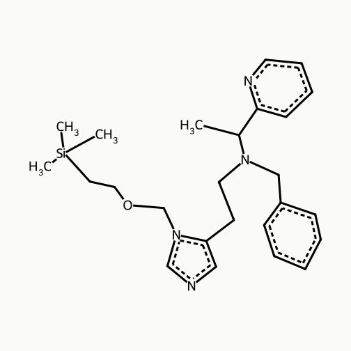 CC(c1ccccn1)N(CCc1cncn1COCC[Si](C)(C)C)Cc1ccccc1